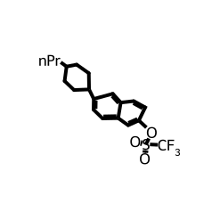 CCCC1CCC(c2ccc3cc(OS(=O)(=O)C(F)(F)F)ccc3c2)CC1